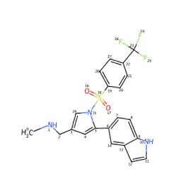 CNCc1cc(-c2ccc3[nH]ccc3c2)n(S(=O)(=O)c2ccc(C(F)(F)F)cc2)c1